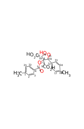 Cc1ccc(C(=O)O[C@@](C(=O)O)(C(=O)c2ccc(C)cc2)[C@@H](O)C(=O)O)cc1